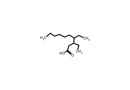 CCCCCCC(CC)C(CC)CC(=O)O